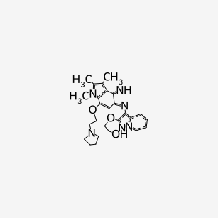 Cc1c2c(n(C)c1C)C(OCCN1CCCC1)=C/C(=N\c1c(OCCO)nn3ccccc13)C2=N